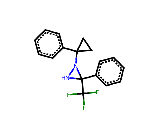 FC(F)(F)C1(c2ccccc2)NN1C1(c2ccccc2)CC1